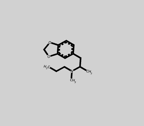 CCCN(C)C(C)Cc1ccc2c(c1)OCO2